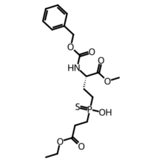 CCOC(=O)CCP(O)(=S)CC[C@H](NC(=O)OCc1ccccc1)C(=O)OC